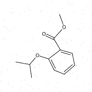 COC(=O)c1c[c]ccc1OC(C)C